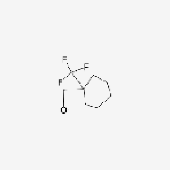 [O]CC1(C(F)(F)F)CCCCC1